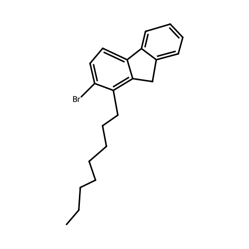 CCCCCCCCc1c(Br)ccc2c1Cc1ccccc1-2